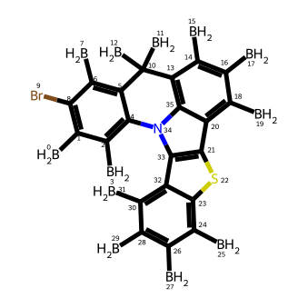 Bc1c(B)c2c(c(B)c1Br)C(B)(B)c1c(B)c(B)c(B)c3c4sc5c(B)c(B)c(B)c(B)c5c4n-2c13